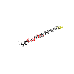 C=CCOCCOCCOCCOCCCCCCCCCCCS